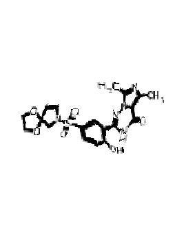 Cc1nc(C)n2nc(-c3cc(S(=O)(=O)N4CCC5(C4)OCCO5)ccc3O)[nH]c(=O)c12